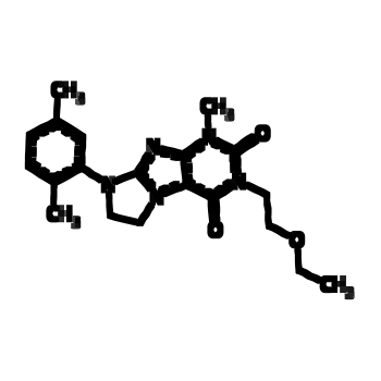 CCOCCn1c(=O)c2c(nc3n2CCN3c2cc(C)ccc2C)n(C)c1=O